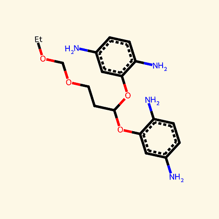 CCOCOCCC(Oc1cc(N)ccc1N)Oc1cc(N)ccc1N